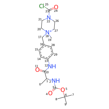 CC(NC(=O)OC(C)(C)C)C(=O)Nc1ccc(C[N+]2(C)CCN(C(=O)Cl)CC2)cc1